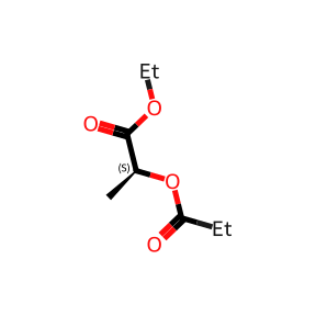 CCOC(=O)[C@H](C)OC(=O)CC